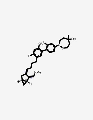 CN/C=C1\C(=C/CCCc2cc(-c3ccc(N4CCC(C)(O)CCS4)cc3F)c(C(F)(F)F)cc2F)C[C@H]2C[C@@H]12